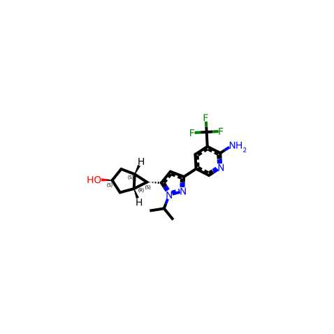 CC(C)n1nc(-c2cnc(N)c(C(F)(F)F)c2)cc1[C@@H]1[C@@H]2C[C@@H](O)C[C@@H]21